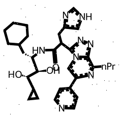 CCCc1nc(-c2ccncc2)cn2c(C(Cc3c[nH]cn3)C(=O)N[C@@H](CC3CCCCC3)[C@@H](O)[C@@H](O)C3CC3)nnc12